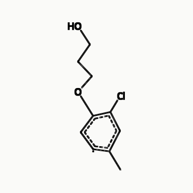 Cc1[c]cc(OCCCO)c(Cl)c1